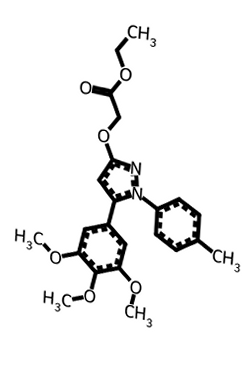 CCOC(=O)COc1cc(-c2cc(OC)c(OC)c(OC)c2)n(-c2ccc(C)cc2)n1